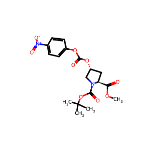 COC(=O)[C@@H]1C[C@@H](OC(=O)Oc2ccc([N+](=O)[O-])cc2)CN1C(=O)OC(C)(C)C